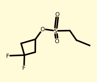 CCCS(=O)(=O)OC1CC(F)(F)C1